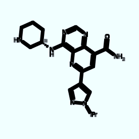 CC(C)n1cc(-c2cc(C(N)=O)c3ncnc(N[C@H]4CCCNC4)c3n2)cn1